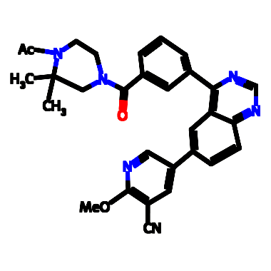 COc1ncc(-c2ccc3ncnc(-c4cccc(C(=O)N5CCN(C(C)=O)C(C)(C)C5)c4)c3c2)cc1C#N